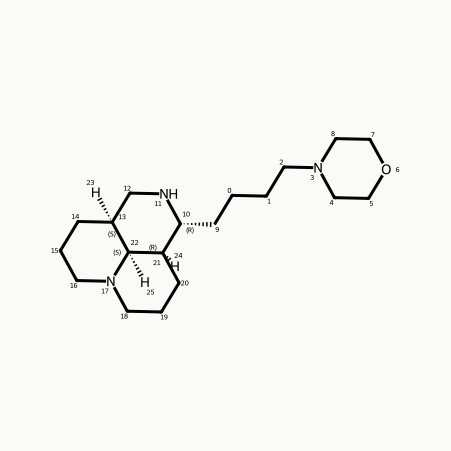 C(CCN1CCOCC1)C[C@H]1NC[C@@H]2CCCN3CCC[C@H]1[C@H]23